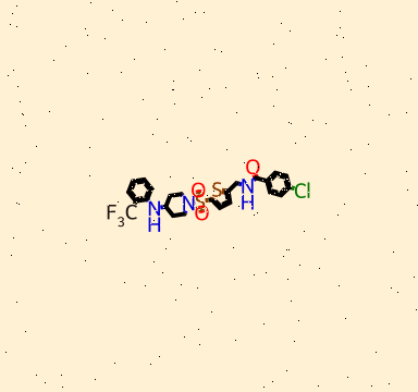 O=C(NCc1ccc(S(=O)(=O)N2CCC(Nc3ccccc3C(F)(F)F)CC2)s1)c1ccc(Cl)cc1